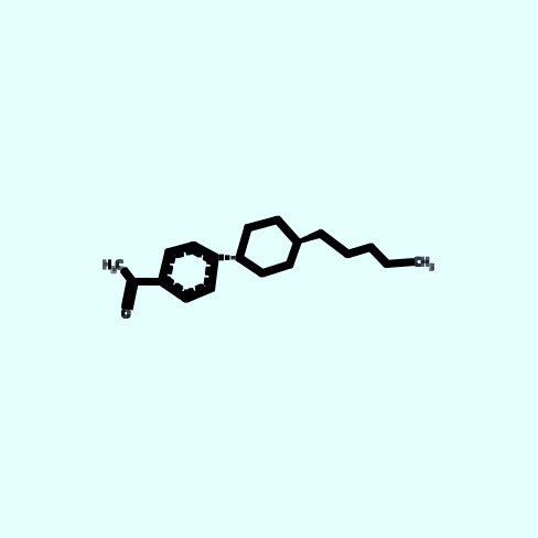 CCCCC[C@H]1CC[C@H](c2ccc(C(C)=O)cc2)CC1